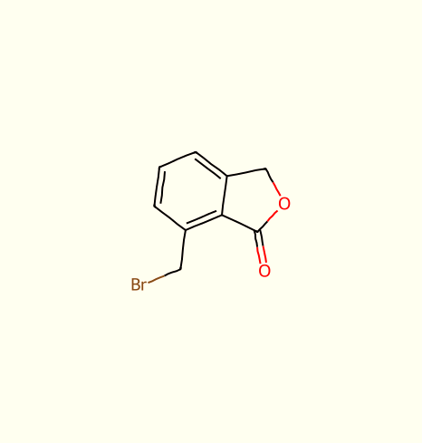 O=C1OCc2cccc(CBr)c21